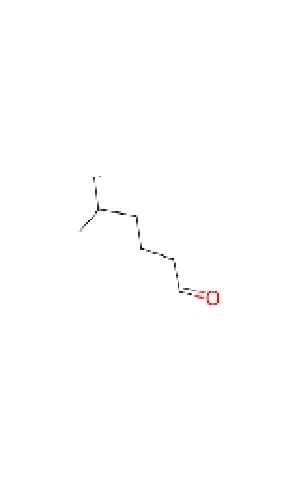 [CH2]C(C)CCCC=O